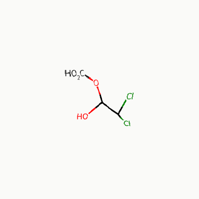 O=C(O)OC(O)C(Cl)Cl